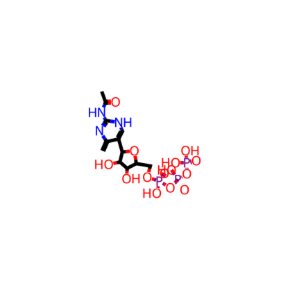 C=C1N=C(NC(C)=O)NC=C1C1OC(COP(=O)(O)OP(=O)(O)OP(=O)(O)O)C(O)C1O